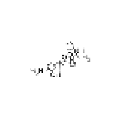 C[C@@H](NC1CCCCC1)C(=O)N1CCC[C@H]1C(=O)NCc1ccc(CN)c(O)c1